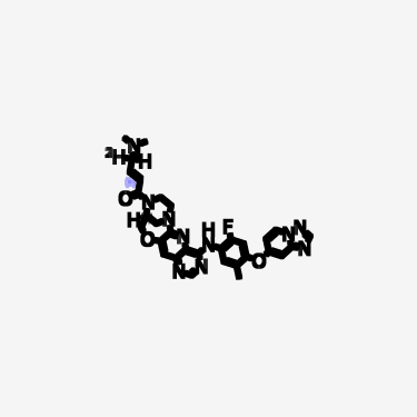 [2H]C([2H])(/C=C/C(=O)N1CCN2C[C@H]1COc1cc3ncnc(Nc4cc(C)c(Oc5ccn6ncnc6c5)cc4F)c3nc12)N(C)C